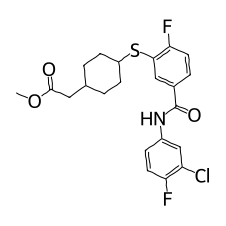 COC(=O)CC1CCC(Sc2cc(C(=O)Nc3ccc(F)c(Cl)c3)ccc2F)CC1